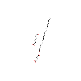 CCCCCCCCCCCCCCCCCCOC(=O)C=CC(=O)[O-].O=C(O)CCCCC(=O)O.[Na+]